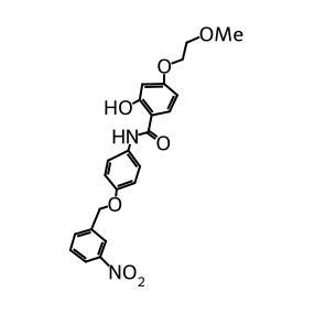 COCCOc1ccc(C(=O)Nc2ccc(OCc3cccc([N+](=O)[O-])c3)cc2)c(O)c1